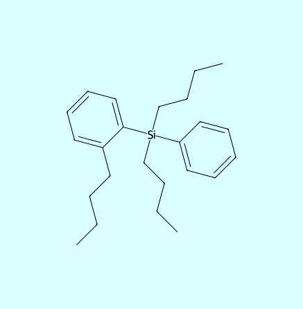 CCCCc1ccccc1[Si](CCCC)(CCCC)c1ccccc1